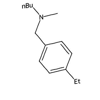 CCCCN(C)Cc1ccc(CC)cc1